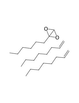 C=CCCCCCC.C=CCCCCCC.CCCCCCC12OC1O2